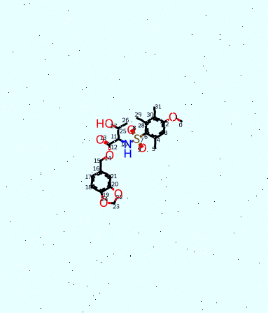 COc1cc(C)c(S(=O)(=O)NC(C(=O)OCc2ccc3c(c2)OCO3)C(C)O)c(C)c1C